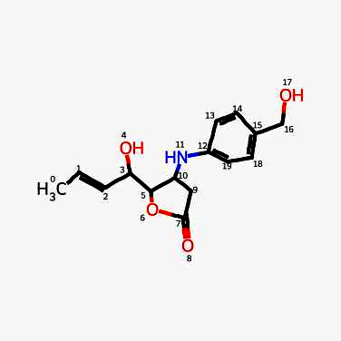 C/C=C/C(O)C1OC(=O)CC1Nc1ccc(CO)cc1